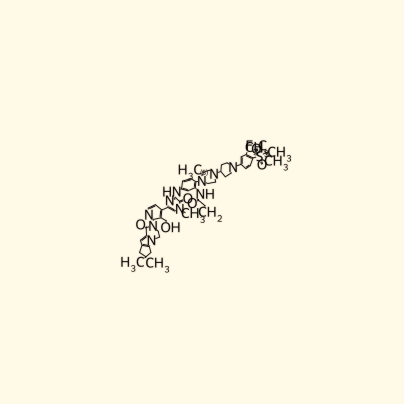 C=CC(=O)Nc1cc(Nc2nc(-c3ccnc(N4CCn5c(cc6c5CC(C)(C)C6)C4=O)c3CO)cn(C)c2=O)ccc1N1CCN(C2CCN(c3ccc(S(=O)(=O)C(C)(C)C(F)(F)F)c(C)c3)CC2)C[C@@H]1C